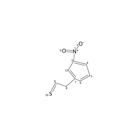 O=[N+]([O-])c1cccc(CC=S)c1